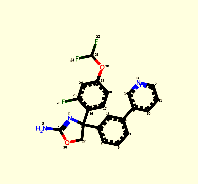 NC1=NC(c2cccc(-c3cccnc3)c2)(c2ccc(OC(F)F)cc2F)CO1